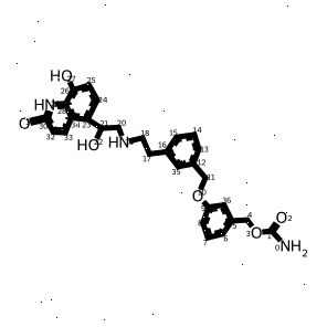 NC(=O)OCc1cccc(OCc2cccc(CCNCC(O)c3ccc(O)c4[nH]c(=O)ccc34)c2)c1